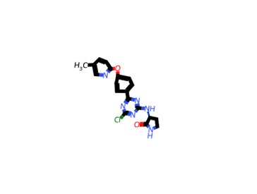 Cc1ccc(Oc2ccc(-c3nc(Cl)nc(N[C@H]4CCNC4=O)n3)cc2)nc1